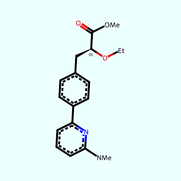 CCO[C@@H](Cc1ccc(-c2cccc(NC)n2)cc1)C(=O)OC